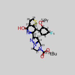 CC(C)Oc1cc(F)ccc1-c1c(-c2cc3n(n2)CCN(C(=O)OC(C)(C)C)C3)nc(O)c2ccsc12